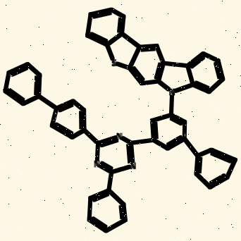 c1ccc(-c2ccc(-c3nc(-c4ccccc4)nc(-c4cc(-c5ccccc5)cc(-n5c6ccccc6c6cc7c(cc65)sc5ccccc57)c4)n3)cc2)cc1